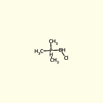 C[PH](C)(C)BCl